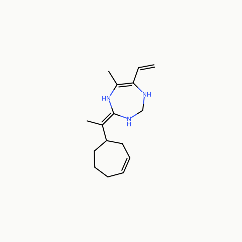 C=CC1=C(C)N/C(=C(\C)C2CC=CCCC2)NCN1